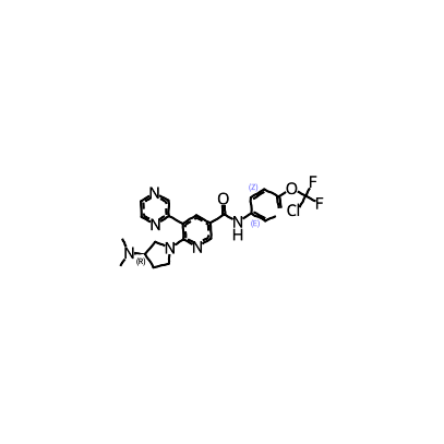 C=C(/C=C\C(=C/C)NC(=O)c1cnc(N2CC[C@@H](N(C)C)C2)c(-c2cnccn2)c1)OC(F)(F)Cl